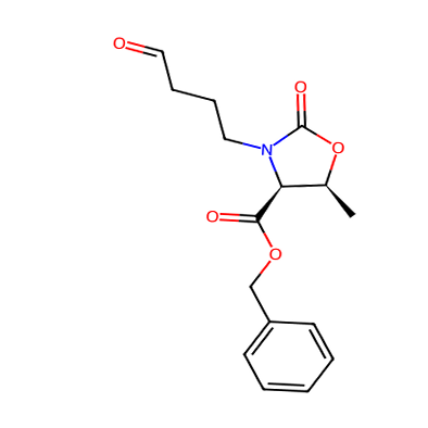 C[C@@H]1OC(=O)N(CCCC=O)[C@@H]1C(=O)OCc1ccccc1